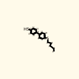 CCCCCSc1ccc(-c2ccc(S)cc2)cc1